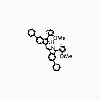 COc1ccsc1C1=N/C(=C\c2[nH]c(-c3sccc3OC)c3cc(-c4ccccc4)ccc23)c2ccc(-c3ccccc3)cc21